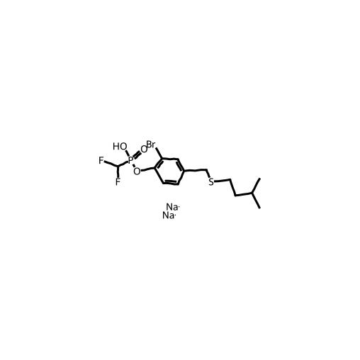 CC(C)CCSCc1ccc(OP(=O)(O)C(F)F)c(Br)c1.[Na].[Na]